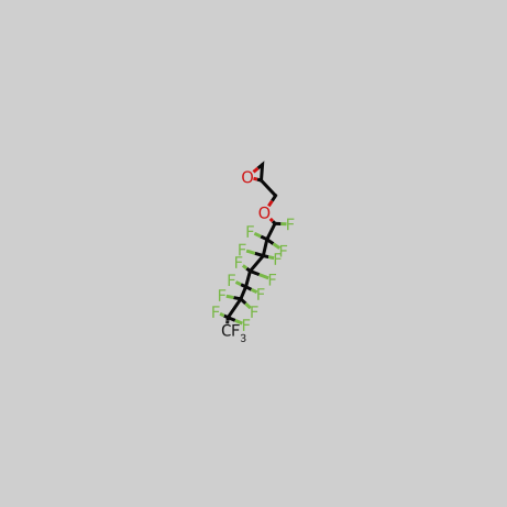 FC(OCC1CO1)C(F)(F)C(F)(F)C(F)(F)C(F)(F)C(F)(F)C(F)(F)C(F)(F)F